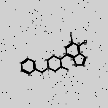 CC1CN(Cc2ccccc2)CCC1c1cc(F)c(Cl)c2ccoc12